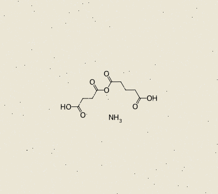 N.O=C(O)CCCC(=O)OC(=O)CCC(=O)O